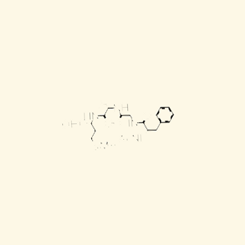 CSCC[C@@H](C=O)NC(=O)[C@H](C)NC(=O)CNC(=O)[C@H](Cc1ccccc1)NC(C)=O